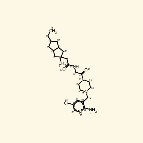 CCC1CC2CC(C)(CC(=O)NCC(=O)N3CCN(Cc4cc(Cl)cnc4N)CC3)CC2C1